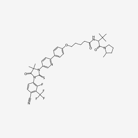 CC1CCCN1C(=O)C(NC(=O)CCCCOc1ccc(-c2ccc(N3C(=S)N(c4ccc(C#N)c(C(F)(F)F)c4F)C(=O)C3(C)C)cn2)cc1)C(C)(C)C